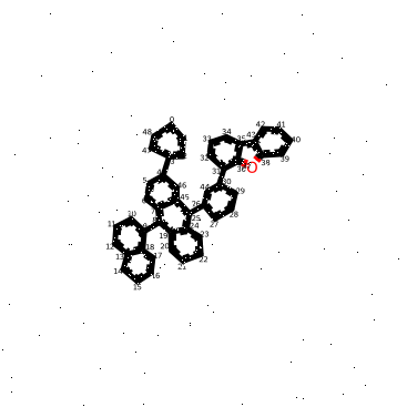 c1ccc(-c2ccc3c(-c4cccc5ccccc45)c4ccccc4c(-c4cccc(-c5cccc6c5oc5ccccc56)c4)c3c2)cc1